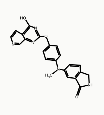 CN(c1ccc(Oc2nc(O)c3ccncc3n2)cc1)c1ccc2c(c1)C(=O)NC2